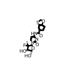 O=C(Nc1ccn(C2O[C@H](CO)[C@@H](O)C2(F)I)c(=O)n1)c1ccc2c(c1)SCO2